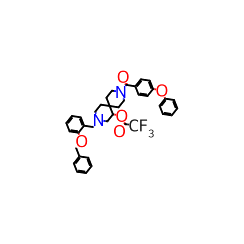 O=C(c1ccc(Oc2ccccc2)cc1)N1CCC2(CCN(Cc3ccccc3OCc3ccccc3)CC2OC(=O)C(F)(F)F)CC1